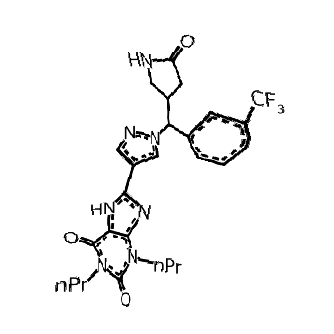 CCCn1c(=O)c2[nH]c(-c3cnn(C(c4cccc(C(F)(F)F)c4)C4CNC(=O)C4)c3)nc2n(CCC)c1=O